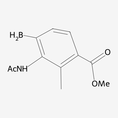 Bc1ccc(C(=O)OC)c(C)c1NC(C)=O